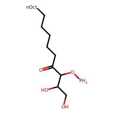 CCCCCCCCCCCCCC(=O)C(OP)C(O)CO